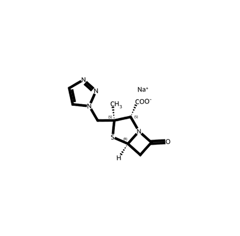 C[C@@]1(Cn2ccnn2)S[C@@H]2CC(=O)N2[C@H]1C(=O)[O-].[Na+]